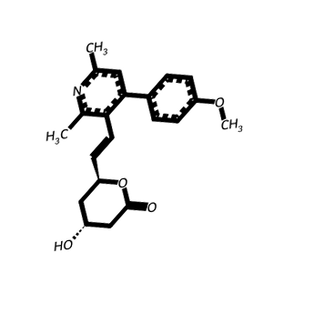 COc1ccc(-c2cc(C)nc(C)c2/C=C/[C@@H]2C[C@@H](O)CC(=O)O2)cc1